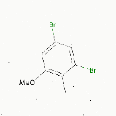 COc1cc(Br)cc(Br)c1C